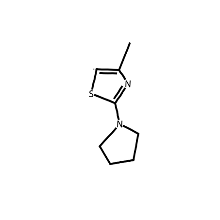 Cc1[c]sc(N2CCCC2)n1